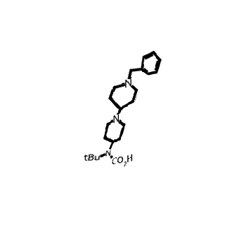 CC(C)(C)N(C(=O)O)C1CCN(C2CCN(Cc3ccccc3)CC2)CC1